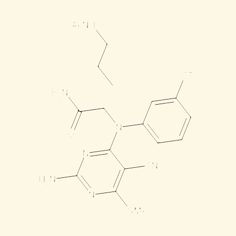 CSc1nc(N)nc(N(c2cccc(C(F)(F)F)c2)[C@@H](CCCNC(C)=O)C(N)=O)c1C#N